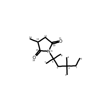 CCC(C)(C)CC(C)(C)N1C(=O)CC(C)C1=O